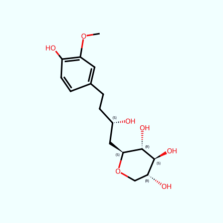 COc1cc(CC[C@H](O)C[C@@H]2OC[C@@H](O)[C@H](O)[C@H]2O)ccc1O